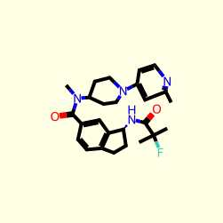 Cc1cc(N2CCC(N(C)C(=O)c3ccc4c(c3)[C@H](NC(=O)C(C)(C)F)CC4)CC2)ccn1